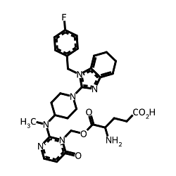 CN(c1nccc(=O)n1COC(=O)C(N)CCC(=O)O)C1CCN(c2nc3c(n2Cc2ccc(F)cc2)=CCCC=3)CC1